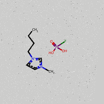 CCCC[n+]1ccn(C)c1.O=P(O)(O)F